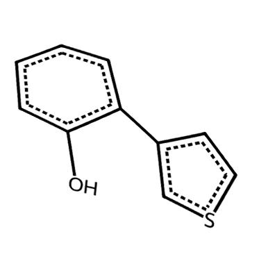 Oc1ccccc1-c1ccsc1